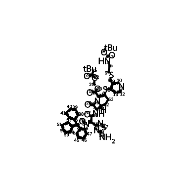 CC(C)(C)OC(=O)NCCSCc1cnccc1SC1=C(C(=O)OCOC(=O)C(C)(C)C)N2C(=O)[C@@H](NC(=O)/C(=N\OC(c3ccccc3)(c3ccccc3)c3ccccc3)c3nsc(N)n3)[C@H]2CC1